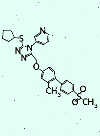 Cc1cc(OCc2nnc(SC3CCCC3)n2-c2cccnc2)ccc1-c1ccc(S(C)(=O)=O)cc1